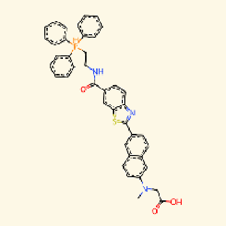 CN(CC(=O)O)c1ccc2cc(-c3nc4ccc(C(=O)NCC[PH](c5ccccc5)(c5ccccc5)c5ccccc5)cc4s3)ccc2c1